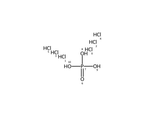 Cl.Cl.Cl.Cl.Cl.Cl.O=P(O)(O)O